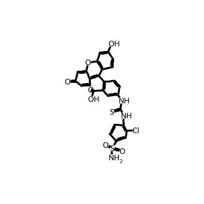 NS(=O)(=O)c1ccc(NC(=S)Nc2ccc(-c3c4ccc(=O)cc-4oc4cc(O)ccc34)c(C(=O)O)c2)c(Cl)c1